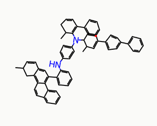 CC1C=Cc2cc(-c3ccccc3Nc3ccc(N(C4=C(c5ccccc5)C=CCC4C)C4C=CC(c5ccc(-c6ccccc6)cc5)=CC4C)cc3)c3c(ccc4ccccc43)c2C1